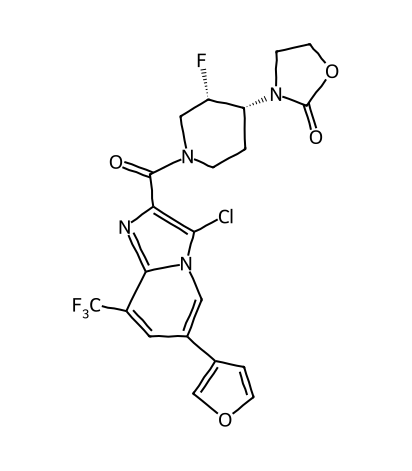 O=C(c1nc2c(C(F)(F)F)cc(-c3ccoc3)cn2c1Cl)N1CC[C@@H](N2CCOC2=O)[C@@H](F)C1